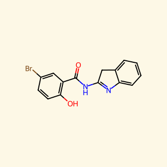 O=C(NC1=Nc2ccccc2C1)c1cc(Br)ccc1O